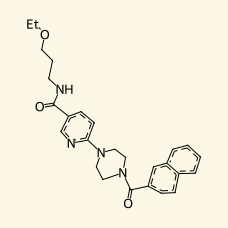 CCOCCCNC(=O)c1ccc(N2CCN(C(=O)c3ccc4ccccc4c3)CC2)nc1